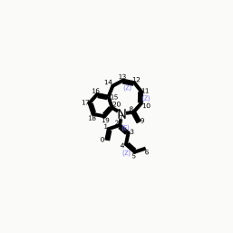 C=C/C(=C\C=C/C)N1C(=C)/C=C\C=C/Cc2ccccc21